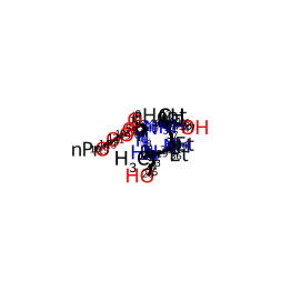 CCCCCCCOc1cc2c(cc1OOCCOCCOCCC)/N=C/c1[nH]c(c(CCCO)c1C)Cc1[nH]c(c(CC)c1CC)Cc1[nH]c(c(C)c1CCCO)/C=N/2